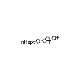 CCCCCCCc1ccc(-c2ccc3c(F)c(-c4ccc(F)cc4)ccc3c2)cc1